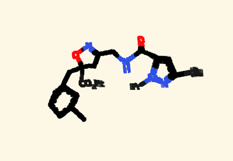 CCOC(=O)C1(Cc2cccc(C)c2)CC(CNC(=O)c2cc(C(C)(C)C)nn2C(C)C)=NO1